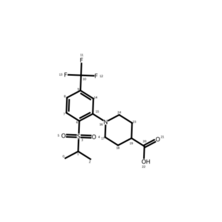 CC(C)S(=O)(=O)c1ccc(C(F)(F)F)cc1N1CCC(C(=O)O)CC1